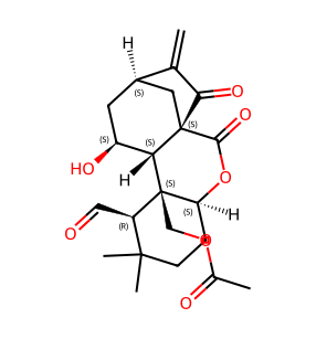 C=C1C(=O)[C@]23C[C@H]1C[C@H](O)[C@H]2[C@]1(COC(C)=O)[C@H](CCC(C)(C)[C@H]1C=O)OC3=O